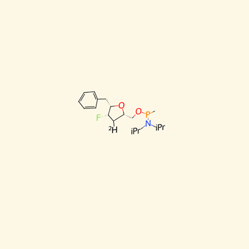 [2H]C1[C@@H](COP(C)N(C(C)C)C(C)C)O[C@@H](Cc2ccccc2)[C@H]1F